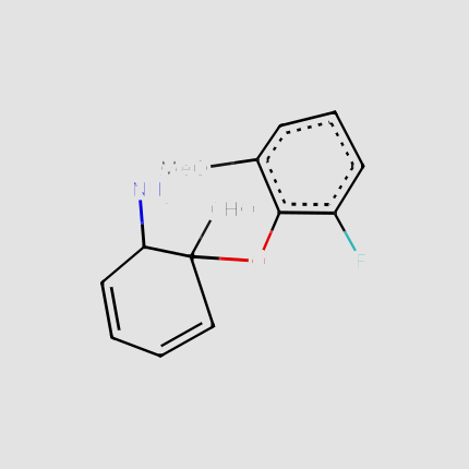 COc1cccc(F)c1OC1(C=O)C=CC=CC1N